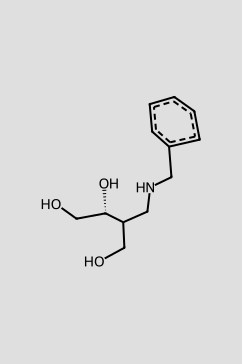 OCC(CNCc1ccccc1)[C@@H](O)CO